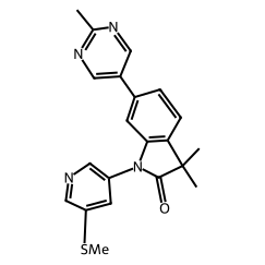 CSc1cncc(N2C(=O)C(C)(C)c3ccc(-c4cnc(C)nc4)cc32)c1